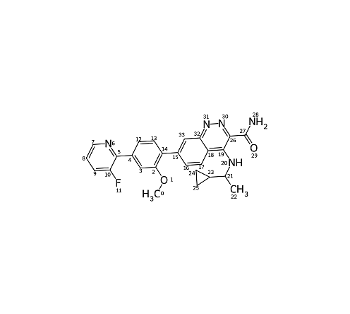 COc1cc(-c2ncccc2F)ccc1-c1ccc2c(NC(C)C3CC3)c(C(N)=O)nnc2c1